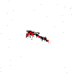 CCOCCNC(=O)COCCOCCNC(=O)CCC(=O)NO[C@H]1CC[C@@]2(C)[C@@H](C1)C[C@H](O)[C@H]1C3CC[C@H]([C@H](C)CCC(=O)O)[C@@]3(C)CC[C@@H]12